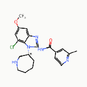 Cc1cc(C(=O)Nc2nc3cc(OC(F)(F)F)cc(Cl)c3n2[C@@H]2CCCCNC2)ccn1